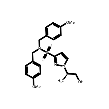 COc1ccc(CN(Cc2ccc(OC)cc2)S(=O)(=O)c2ccn([C@H](C)CO)n2)cc1